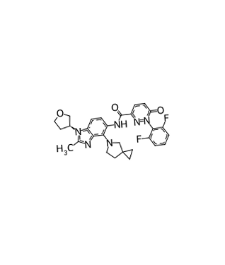 Cc1nc2c(N3CCC4(CC4)C3)c(NC(=O)c3ccc(=O)n(-c4c(F)cccc4F)n3)ccc2n1[C@H]1CCOC1